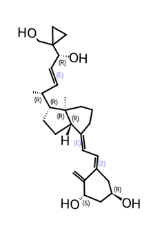 C=C1/C(=C\C=C2/CCC[C@]3(C)[C@@H]([C@H](C)/C=C/[C@@H](O)C4(CO)CC4)CC[C@@H]23)C[C@@H](O)C[C@@H]1O